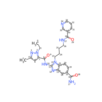 CCn1nc(C)cc1C(=O)Nc1nc2cc(C(N)=O)ccc2n1CCCCNC(=O)c1cccnc1